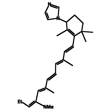 CC\C=C(/C=C(C)/C=C/C=C(C)/C=C/C1=C(C)C(n2ccnc2)CCC1(C)C)NC